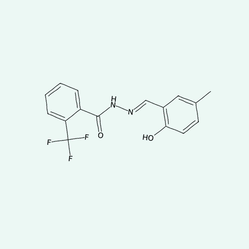 Cc1ccc(O)c(/C=N/NC(=O)c2ccccc2C(F)(F)F)c1